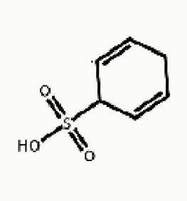 O=S(=O)(O)C1[C]=CCC=C1